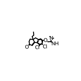 CCCC12CCC(=O)C=C1c1c(cc(OCC(=N)N(C)C)c(Cl)c1Cl)C2